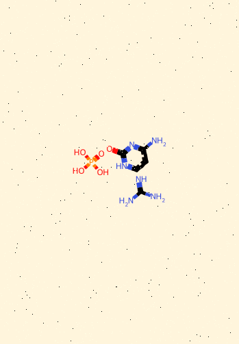 N=C(N)N.Nc1cc[nH]c(=O)n1.O=P(O)(O)O